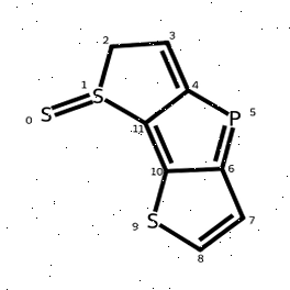 S=S1CC=C2P=c3ccsc3=C21